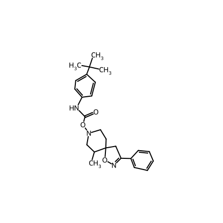 CC1CN(OC(=O)Nc2ccc(C(C)(C)C)cc2)CCC12CC(c1ccccc1)=NO2